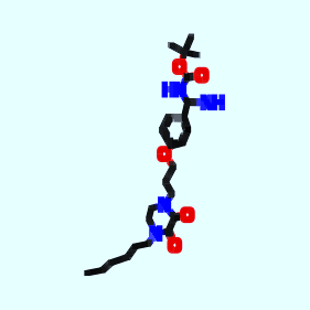 CCCCCCN1CCN(CCCOc2ccc(C(=N)NC(=O)OC(C)(C)C)cc2)C(=O)C1=O